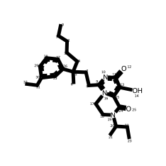 CCCCCC(C)(CCc1nc(=O)c(O)c2n1CCN(C(C)CC)C2=O)c1cccc(CC)c1